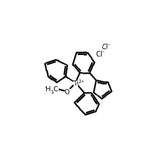 C[O][Ti+2]([c]1ccccc1)([c]1ccccc1)[c]1ccccc1C1=CC=CC1.[Cl-].[Cl-]